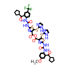 COc1ccc(NC(=O)Nc2nc(C(=O)OC(=O)c3nc(NC(=O)Nc4ccc(C(F)(F)F)cc4C(=O)C4CCCC4)sc3Sc3ncc[nH]3)c(Sc3ncc[nH]3)s2)c(C(=O)C2CCCC2)c1